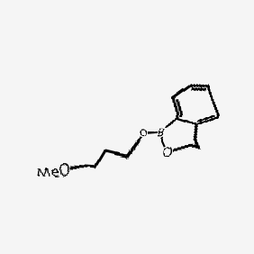 COCCCOB1OCc2ccccc21